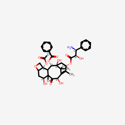 CC(=O)O[C@@]12COC1C[C@H](O)C1(C)C(=O)[C@H](O)C3=C(C)[C@@H](OC(=O)[C@H](O)[C@@H](N)c4ccccc4)C[C@@](O)([C@@H](OC(=O)c4ccccc4)C12)C3(C)C